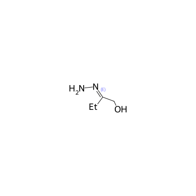 CC/C(CO)=N\N